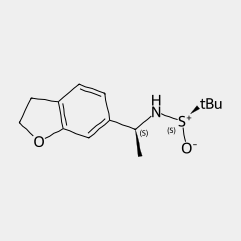 C[C@H](N[S@+]([O-])C(C)(C)C)c1ccc2c(c1)OCC2